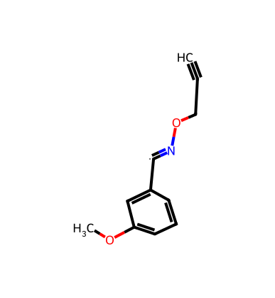 C#CCON=[C]c1cccc(OC)c1